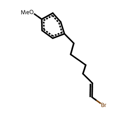 COc1ccc(CCCCC=CBr)cc1